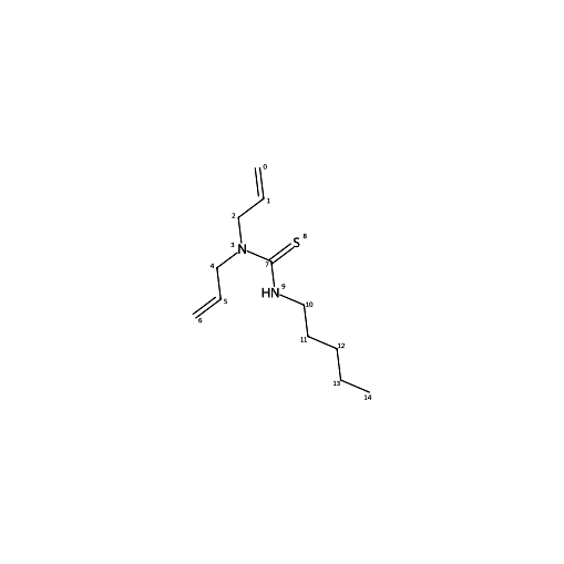 C=CCN(CC=C)C(=S)NCCCCC